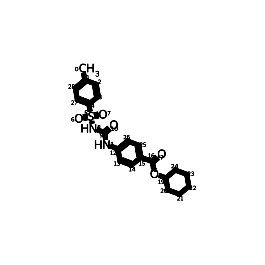 Cc1ccc(S(=O)(=O)NC(=O)Nc2ccc(C(=O)OC3CCCCC3)cc2)cc1